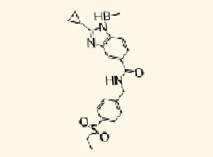 CBn1c(C2CC2)nc2cc(C(=O)NCc3ccc(S(=O)(=O)CC)cc3)ccc21